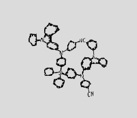 [C-]#[N+]c1ccc(N(c2ccc([Si](c3ccccc3)(c3ccccc3)c3ccc(N(c4ccc(C#N)cc4)c4ccc5c(c4)c4ccccc4n5-c4ccccc4)cc3)cc2)c2ccc3c(c2)c2ccccc2n3-c2ccccc2)cc1